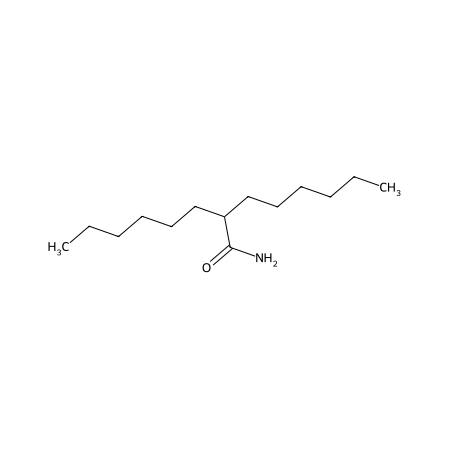 CCCCCCC(CCCCCC)C(N)=O